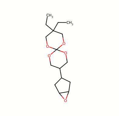 CCC1(CC)COC2(OCC(C3CC4OC4C3)CO2)OC1